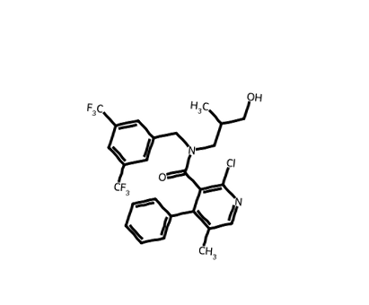 Cc1cnc(Cl)c(C(=O)N(Cc2cc(C(F)(F)F)cc(C(F)(F)F)c2)CC(C)CO)c1-c1ccccc1